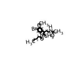 CCCCC(=O)n1c(C)c(CCNC(C)=O)c2cc(OC)c(Br)cc21